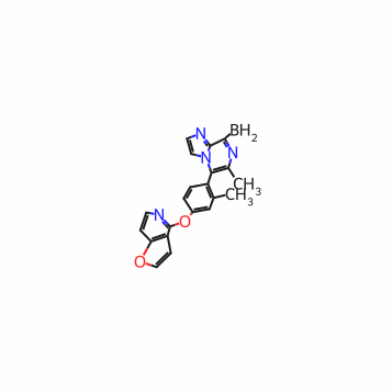 Bc1nc(C)c(-c2ccc(Oc3nccc4occc34)cc2C)n2ccnc12